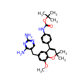 COc1cc(Cc2cnc(N)nc2N)cc2c1OC(C)(C)C=C2c1ccc(NC(=O)OC(C)(C)C)cc1